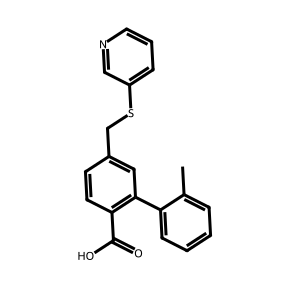 Cc1ccccc1-c1cc(CSc2cccnc2)ccc1C(=O)O